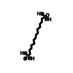 O=P(O)(O)CCCCCCCCCCCCCCP(=O)(O)O